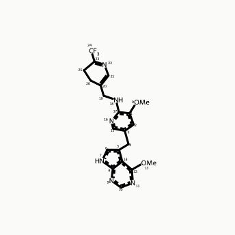 COc1cc(Cc2c[nH]c3ncnc(OC)c23)cnc1NCC1=CN=C(C(F)(F)F)CC1